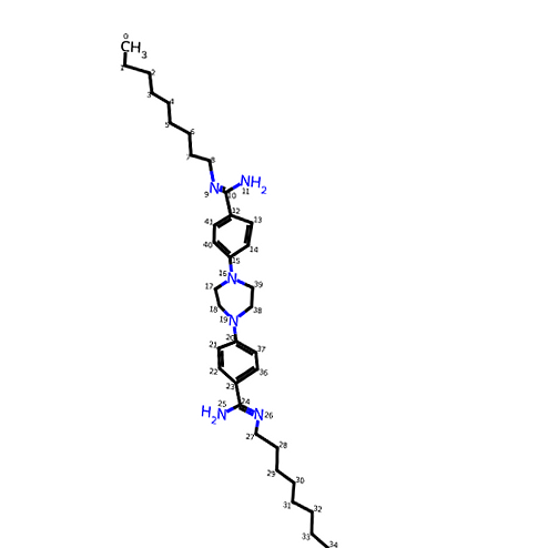 CCCCCCCCCN=C(N)c1ccc(N2CCN(c3ccc(C(N)=NCCCCCCCCC)cc3)CC2)cc1